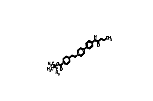 CCCC(=O)Nc1ccc(N2CCN(CCC3CCN(C(=O)OC(C)(C)C)CC3)CC2)cc1